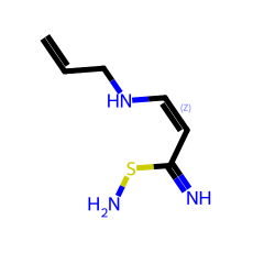 C=CCN/C=C\C(=N)SN